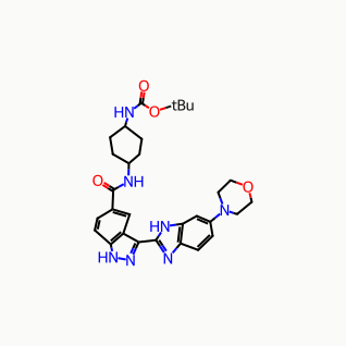 CC(C)(C)OC(=O)NC1CCC(NC(=O)c2ccc3[nH]nc(-c4nc5ccc(N6CCOCC6)cc5[nH]4)c3c2)CC1